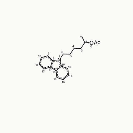 CC(=O)O[C@H](C)CCCCn1c2ccccc2c2ccccc21